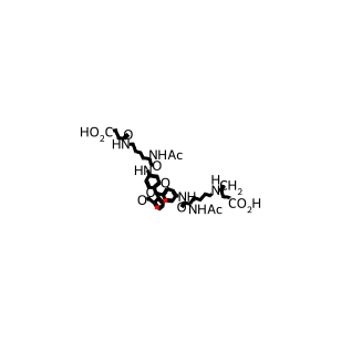 C=C(CCC(=O)O)NCCCCC(NC(C)=O)C(=O)Nc1ccc2c(c1)Oc1cc(NC(=O)C(CCCCNC(=O)CCC(=O)O)NC(C)=O)ccc1C21OC(=O)c2ccccc21